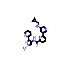 Cn1cc(NC(=O)c2cccc(-c3cncc(NCC4CC4)c3)n2)c(-c2ccccn2)n1